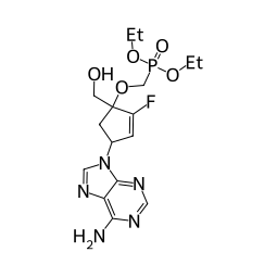 CCOP(=O)(COC1(CO)CC(n2cnc3c(N)ncnc32)C=C1F)OCC